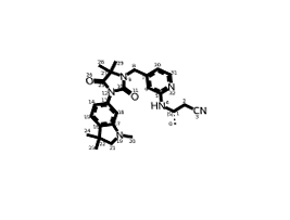 C[C@@H](CC#N)Nc1cc(CN2C(=O)N(c3ccc4c(c3)N(C)CC4(C)C)C(=O)C2(C)C)ccn1